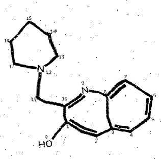 Oc1cc2ccccc2nc1CN1CCCCC1